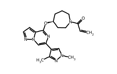 C=CC(=O)N1CCC[C@H](Oc2nc(-c3cn(C)nc3C)cn3nccc23)CC1